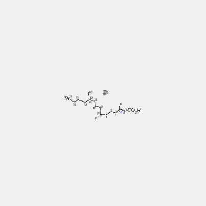 C/C(=C\C(=O)O)CCC[C@H](C)CCC[C@H](C)CCCC(C)C.[Th]